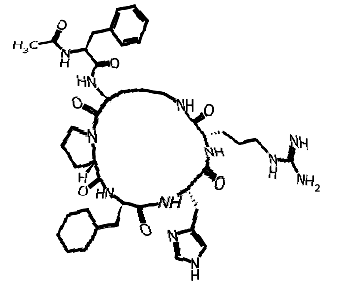 CC(=O)N[C@@H](Cc1ccccc1)C(=O)N[C@H]1CCCNC(=O)[C@H](CCCNC(=N)N)NC(=O)[C@H](Cc2c[nH]cn2)NC(=O)[C@@H](CC2CCCCC2)NC(=O)[C@@H]2CCCN2C1=O